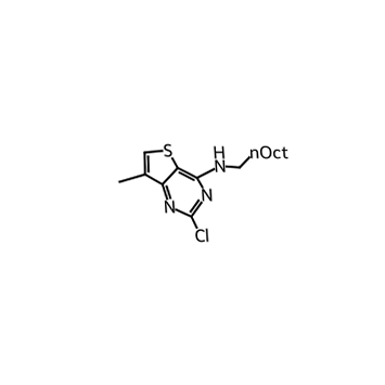 CCCCCCCCCNc1nc(Cl)nc2c(C)csc12